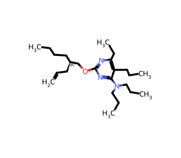 C=CC[C@@H](CCCC)COc1nc(CC)c(CCC)c(N(CCC)CCC)n1